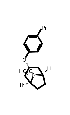 CC(C)c1ccc(O[C@@H]2C[C@H]3CC[C@@H](C2)N3C(=O)O)cc1